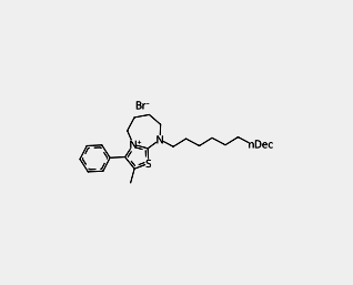 CCCCCCCCCCCCCCCCN1CCCC[n+]2c1sc(C)c2-c1ccccc1.[Br-]